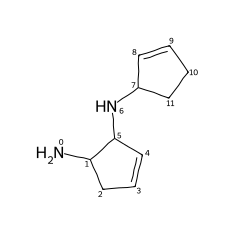 NC1CC=CC1NC1C=CCC1